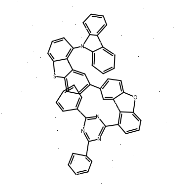 c1ccc(-c2nc(-c3ccccc3)nc(-c3cccc4oc5ccc(-c6ccc7sc8cccc(-n9c%10ccccc%10c%10ccccc%109)c8c7c6)cc5c34)n2)cc1